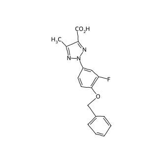 Cc1nn(-c2ccc(OCc3ccccc3)c(F)c2)nc1C(=O)O